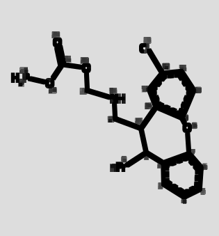 CCCC1c2ccccc2Oc2ccc(Cl)cc2C1CNCOC(=O)OP